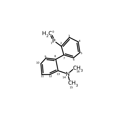 C=Pc1ccccc1-c1ccccc1N(C)C